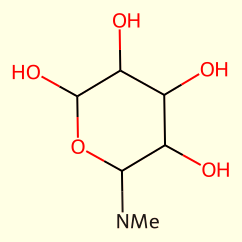 CNC1OC(O)C(O)C(O)C1O